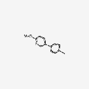 COc1ccc(-c2ccc(C)cc2)cn1